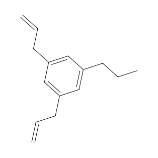 C=CCc1cc(CC=C)cc(CCC)c1